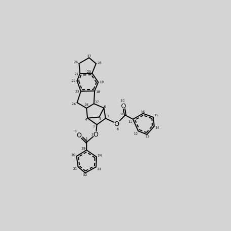 O=C(OC1C2CC(C1OC(=O)c1ccccc1)C1c3cc4c(cc3CC21)CCC4)c1ccccc1